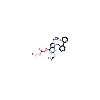 CCc1cc2c(OCC(=O)OC)nc(SC)nc2n1Cc1ccccc1-c1ccccc1